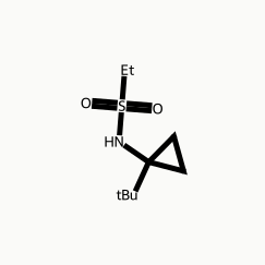 CCS(=O)(=O)NC1(C(C)(C)C)CC1